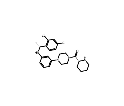 C[C@@H](Nc1cccc(N2CCN(C(=O)[C@H]3CCCCN3)CC2)c1)c1ccc(Cl)cc1Cl